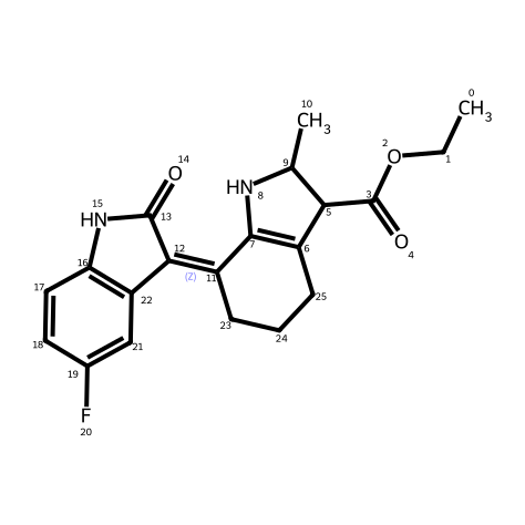 CCOC(=O)C1C2=C(NC1C)/C(=C1\C(=O)Nc3ccc(F)cc31)CCC2